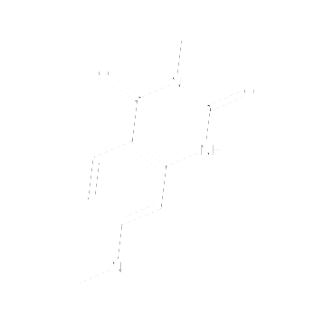 CN(C)c1ccc2c(=O)n(C)c(=O)[nH]c2c1